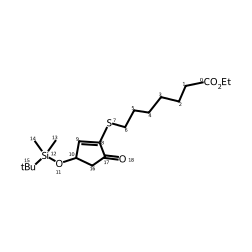 CCOC(=O)CCCCCCSC1=CC(O[Si](C)(C)C(C)(C)C)CC1=O